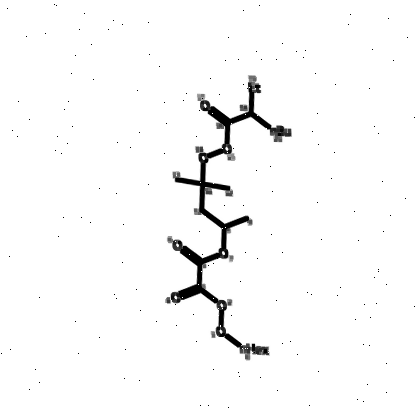 CCCCCCOOC(=O)C(=O)OC(C)CC(C)(C)OOC(=O)C(CC)CCCC